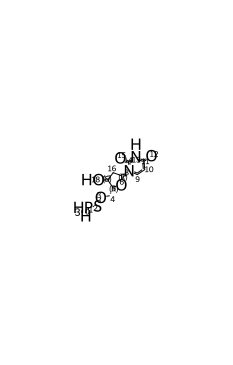 [3H]PSOC[C@H]1O[C@@H](n2ccc(=O)[nH]c2=O)C[C@@H]1O